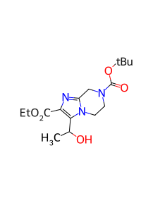 CCOC(=O)c1nc2n(c1C(C)O)CCN(C(=O)OC(C)(C)C)C2